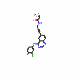 C=CC(=O)NCC#Cc1ccc2ncnc(Nc3ccc(F)c(Cl)c3)c2c1